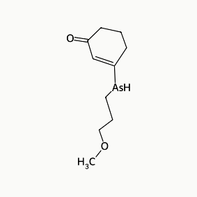 COCCC[AsH]C1=CC(=O)CCC1